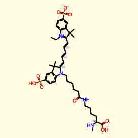 CC[N+]1=C(/C=C/C=C/C=C2/N(CCCCCC(=O)NCCCC[C@H](NC)C(=O)O)c3ccc(S(=O)(=O)O)cc3C2(C)C)C(C)(C)c2cc(S(=O)(=O)[O-])ccc21